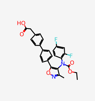 CCOC(=O)N(c1ccc(F)cc1F)c1c(C)noc1-c1ccc(-c2ccc(CC(=O)O)cc2)cc1